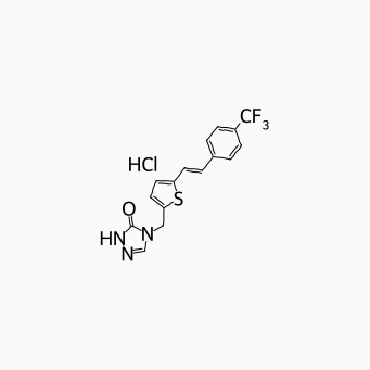 Cl.O=c1[nH]ncn1Cc1ccc(/C=C/c2ccc(C(F)(F)F)cc2)s1